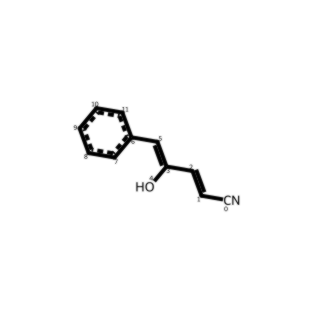 N#CC=CC(O)=Cc1ccccc1